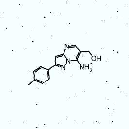 Cc1ccc(-c2cc3ncc(CO)c(N)n3n2)cc1